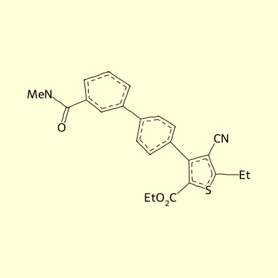 CCOC(=O)c1sc(CC)c(C#N)c1-c1ccc(-c2cccc(C(=O)NC)c2)cc1